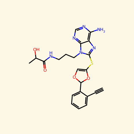 C#Cc1ccccc1C1OC=C(Sc2nc3c(N)ncnc3n2CCCNC(=O)C(C)O)O1